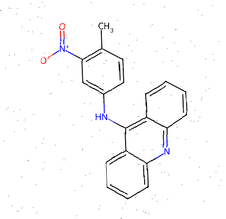 Cc1ccc(Nc2c3ccccc3nc3ccccc23)cc1[N+](=O)[O-]